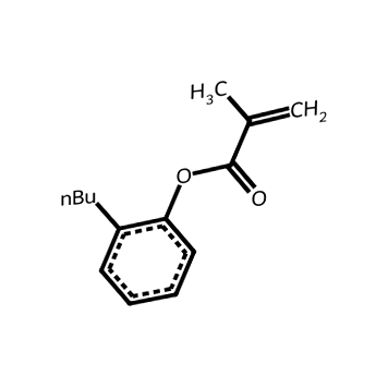 C=C(C)C(=O)Oc1ccccc1CCCC